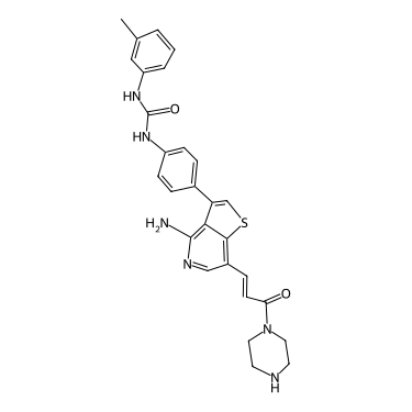 Cc1cccc(NC(=O)Nc2ccc(-c3csc4c(/C=C/C(=O)N5CCNCC5)cnc(N)c34)cc2)c1